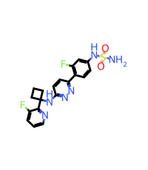 NS(=O)(=O)Nc1ccc(-c2ccc(NC3(c4ncccc4F)CCC3)nn2)c(F)c1